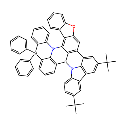 CC(C)(C)c1ccc2c(c1)c1cc(C(C)(C)C)cc3c1n2B1c2cccc4c2N(c2ccccc2[Si]4(c2ccccc2)c2ccccc2)c2c1c-3cc1oc3ccccc3c21